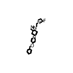 F[C@H]1CCN(CCn2ncc3cc(N4C=CC(OCc5ccccc5)=CC4)ccc32)C1